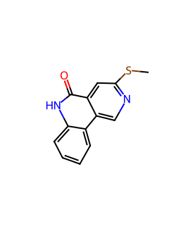 CSc1cc2c(=O)[nH]c3ccccc3c2cn1